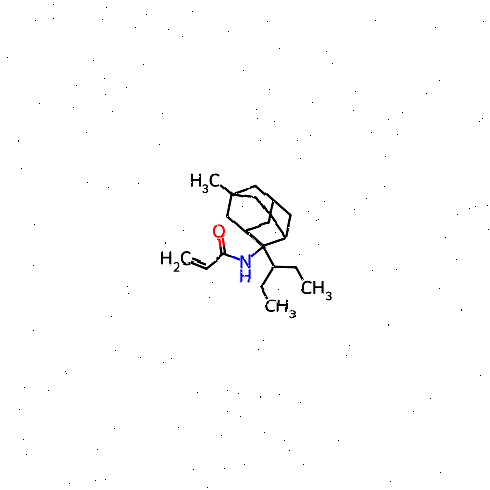 C=CC(=O)NC1(C(CC)CC)C2CC3CC1CC(C)(C3)C2